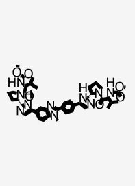 COC(=O)N[C@H](C(=O)N1CCC[C@H]1c1ncc(-c2ccc(-c3nc4cc(-c5cnc([C@@H]6CCCN6C(=O)[C@@H](NC(=O)OC)C(C)C)[nH]5)ccc4n3C)cc2)[nH]1)C(C)C